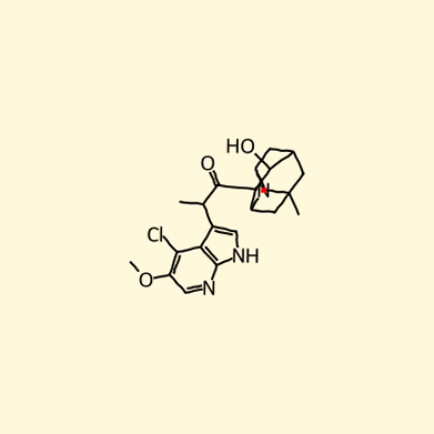 COc1cnc2[nH]cc(C(C)C(=O)N3C4CC(O)C5CC3CC(C)(C5)C4)c2c1Cl